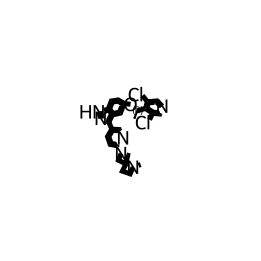 C[C@@H](Oc1ccc2[nH]nc(-c3ccc(N4CC5(CCN5C)C4)nc3)c2c1)c1c(Cl)cncc1Cl